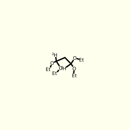 [2H]C(CC([2H])(OCC)OCC)(OCC)OCC